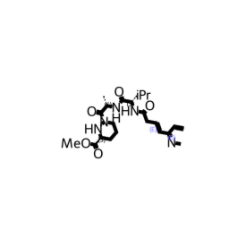 C=CC(/C=C/CC(=O)N[C@H](C(=O)N[C@@H](C)C(=O)N1CCC[C@@H](C(=O)OC)N1)C(C)C)=N\C